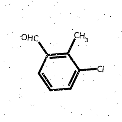 Cc1c(Cl)cccc1[C]=O